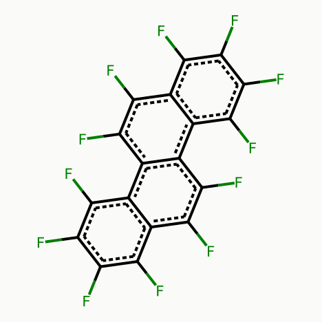 Fc1c(F)c(F)c2c(c1F)c(F)c(F)c1c3c(F)c(F)c(F)c(F)c3c(F)c(F)c21